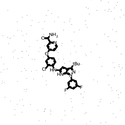 CC(C)(C)c1nn(-c2cc(F)cc(F)c2)c2[nH]c(Nc3ccc(Oc4ccnc(C(N)=O)c4)cc3Cl)cc12